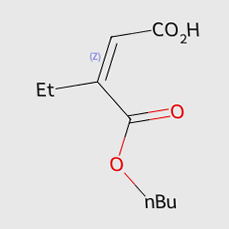 CCCCOC(=O)/C(=C\C(=O)O)CC